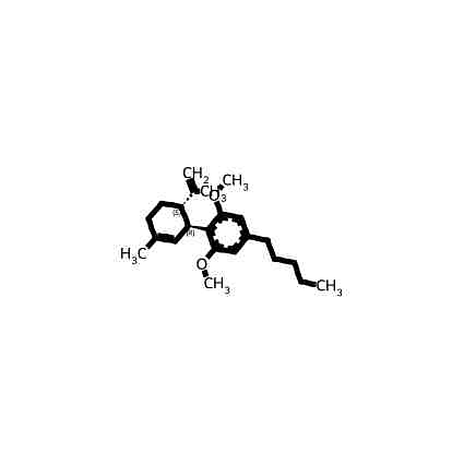 C=C(C)[C@H]1CCC(C)=C[C@@H]1c1c(OC)cc(CCCCC)cc1OC